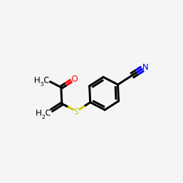 C=C(Sc1ccc(C#N)cc1)C(C)=O